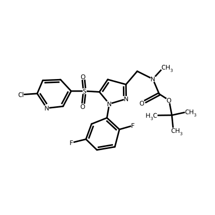 CN(Cc1cc(S(=O)(=O)c2ccc(Cl)nc2)n(-c2cc(F)ccc2F)n1)C(=O)OC(C)(C)C